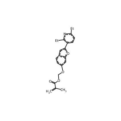 C=C(C)C(=O)OCOc1ccc2cc(-c3ccc(CC)nc3CC)oc2c1